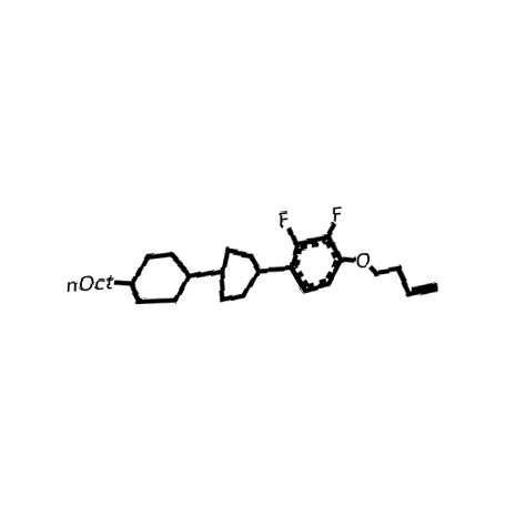 C=CCCOc1ccc(C2CCC(C3CCC(CCCCCCCC)CC3)CC2)c(F)c1F